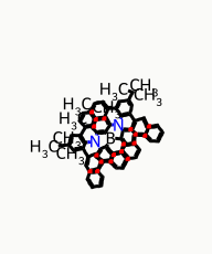 CC(C)(C)c1cc(-c2ccccc2)c(N2c3cc(-c4ccccc4)cc(-c4ccccc4)c3B3c4c(-c5ccccc5)cc(-c5ccccc5)cc4N(c4c(-c5ccccc5)cc(C(C)(C)C)cc4-c4ccccc4)c4cc(C(C)(C)C)cc2c43)c(-c2ccccc2)c1